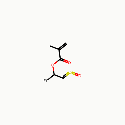 C=C(C)C(=O)OC(C=S=O)CC